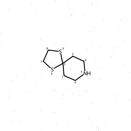 C1CC2(CCN1)SCCS2